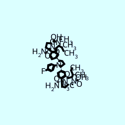 CC[C@@H](C)[C@@H](C(=O)N1CCC[C@@]1(C(N)=O)c1ccc([C@H]2CC[C@H](c3ccc([C@]4(C(N)=O)CCCN4C(=O)[C@H]([C@H](C)CC)N(C)C(=O)O)cc3)N2c2ccc(F)cc2)cc1)N(C)C(=O)O